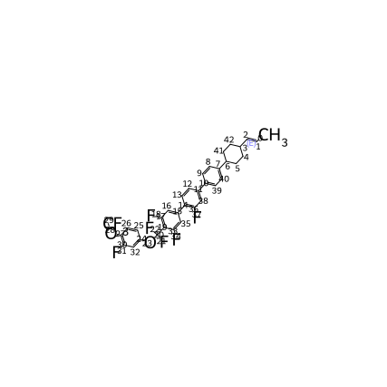 C/C=C/C1CCC(c2ccc(-c3ccc(-c4cc(F)c(C(F)(F)Oc5ccc(OC(F)(F)F)c(F)c5)c(F)c4)c(F)c3)cc2)CC1